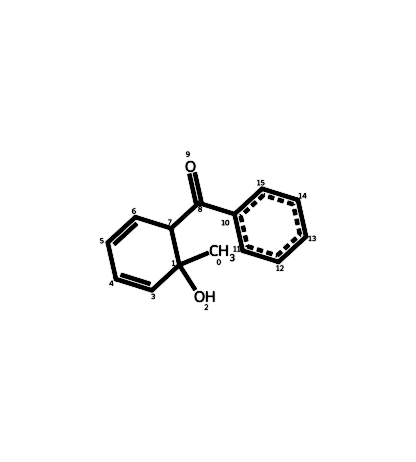 CC1(O)C=CC=CC1C(=O)c1ccccc1